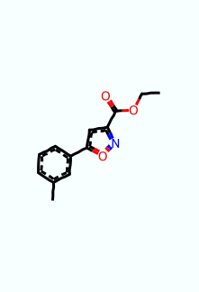 CCOC(=O)c1cc(-c2cccc(C)c2)on1